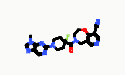 Cn1cnc2cnc(N3CCC(F)(C(=O)N4CCOc5c(C#N)cncc5C4)CC3)nc21